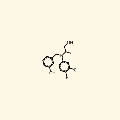 CC(CO)N(Cc1cccc(O)c1)c1ccc(F)c(Cl)c1